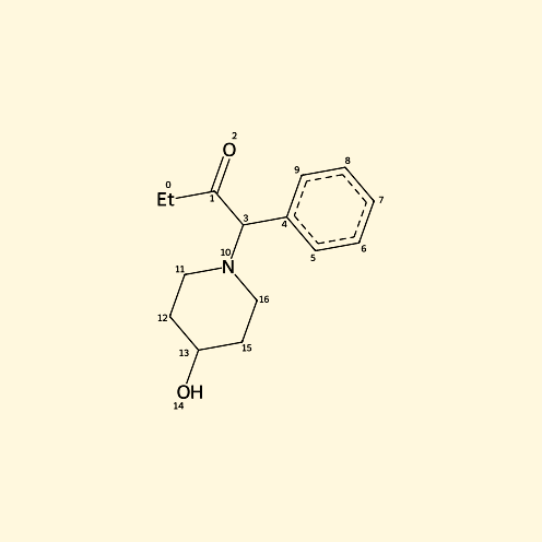 CCC(=O)C(c1ccccc1)N1CCC(O)CC1